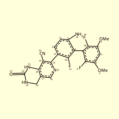 COc1cc(OC)c(F)c(-c2c(N)ccc(-c3ncc4c(c3C#N)NC(=O)NC4)c2F)c1F